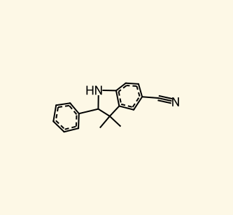 CC1(C)c2cc(C#N)ccc2NC1c1ccccc1